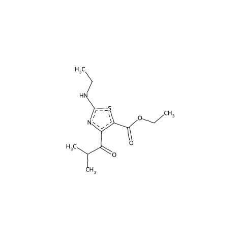 CCNc1nc(C(=O)C(C)C)c(C(=O)OCC)s1